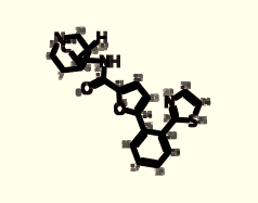 O=C(N[C@H]1CN2CCC1CC2)c1ccc(-c2ccccc2-c2nccs2)o1